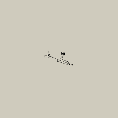 N#CS.[Ni]